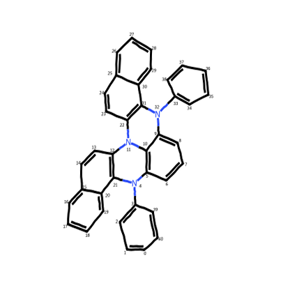 c1ccc(N2c3cccc4c3N(c3ccc5ccccc5c32)c2ccc3ccccc3c2N4c2ccccc2)cc1